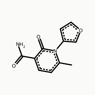 Cc1ccc(C(N)=O)c(=O)n1-c1ccoc1